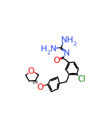 NC(N)=NC(=O)c1ccc(Cl)c(Cc2ccc(O[C@@H]3CCOC3)cc2)c1